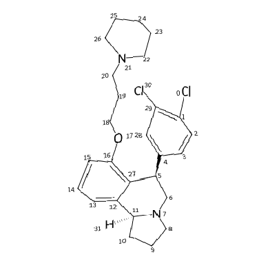 Clc1ccc([C@H]2CN3CCC[C@H]3c3cccc(OCCCN4CCCCC4)c32)cc1Cl